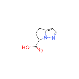 O=C(O)C1CCc2ccnn21